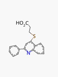 O=C(O)CCSc1cc(-c2ccccc2)nc2ccccc12